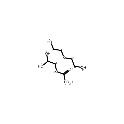 O=C(O)C(=O)OCC(O)O.OCCSCCO